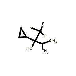 CC(C)C(O)(C1CC1)C(F)(F)F